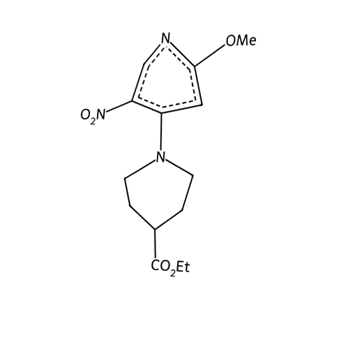 CCOC(=O)C1CCN(c2cc(OC)ncc2[N+](=O)[O-])CC1